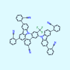 N#Cc1cccc(-c2cc(-n3c4ccc(-c5ccccc5C#N)cc4c4cc(-c5ccccc5C#N)ccc43)c(C(F)(F)F)cc2-n2c3ccc(-c4ccccc4C#N)cc3c3cc(-c4ccccc4C#N)ccc32)c1